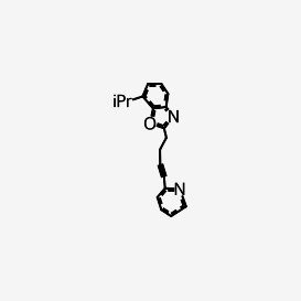 CC(C)c1cccc2nc(CCC#Cc3ccccn3)oc12